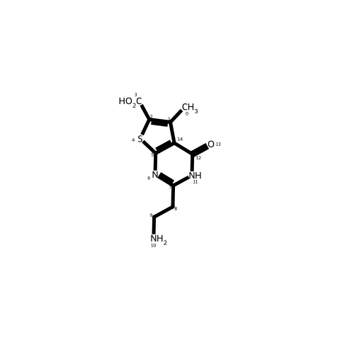 Cc1c(C(=O)O)sc2nc(CCN)[nH]c(=O)c12